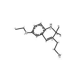 CCOc1ccc2c(c1)C=C(CCBr)C(C)(C)N2